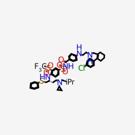 CC(C)CN(CC[C@H](CSc1ccccc1)Nc1ccc(S(=O)(=O)NC(=O)c2ccc(NCCNCC3=C(c4ccc(Cl)cc4)CCCC3)cc2)cc1S(=O)(=O)C(F)(F)F)C1CC1